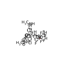 Cc1cc(-c2ccc3c(=O)n(-c4ccc(Cl)c5c(NS(C)(=O)=O)nn(C)c45)c([C@H](Cc4cc(F)cc(F)c4)NC(=O)Cn4nc(C(F)F)c5c4C(F)(F)[C@@H]4C[C@H]54)nc3n2)n[nH]1